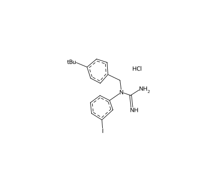 CC(C)(C)c1ccc(CN(C(=N)N)c2cccc(I)c2)cc1.Cl